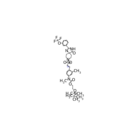 Cc1cc(N(C)C(=O)OCCO[Si](C)(C)C(C)(C)C)ccc1/C=C/S(=O)(=O)N1CCC2(CC1)N=C(c1cccc(OC(F)(F)F)c1)NC2=O